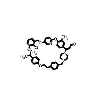 Cc1cc(/C(=C\C=O)N2CCN(Cc3ccc(CCOc4ccc(C(C)C)cc4)cc3)CC2)ccc1Oc1ccc(OCc2cccc(Cl)c2Cl)cn1